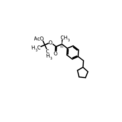 CC(=O)OC(C)(C)OC(=O)[C@@H](C)c1ccc(CC2CCCC2)cc1